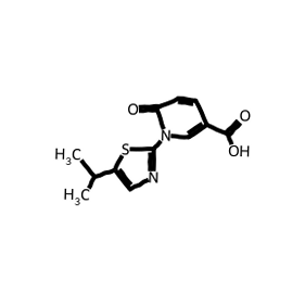 CC(C)c1cnc(-n2cc(C(=O)O)ccc2=O)s1